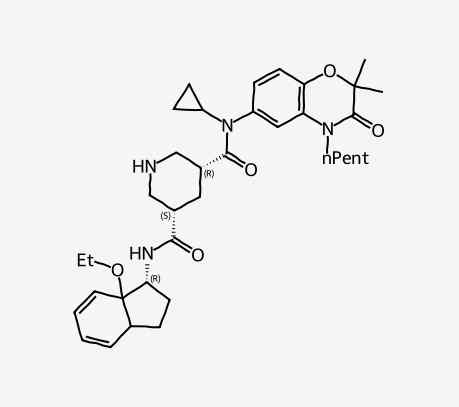 CCCCCN1C(=O)C(C)(C)Oc2ccc(N(C(=O)[C@H]3CNC[C@@H](C(=O)N[C@@H]4CCC5C=CC=CC54OCC)C3)C3CC3)cc21